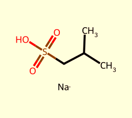 CC(C)CS(=O)(=O)O.[Na]